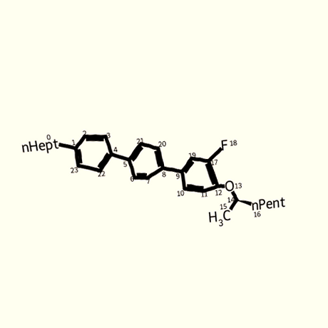 CCCCCCCc1ccc(-c2ccc(-c3ccc(O[C@H](C)CCCCC)c(F)c3)cc2)cc1